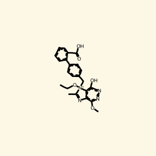 CCO[N+]1(Cc2ccc(-c3ccccc3C(=O)O)cc2)C(C)=Nc2c(OC)nnc(O)c21